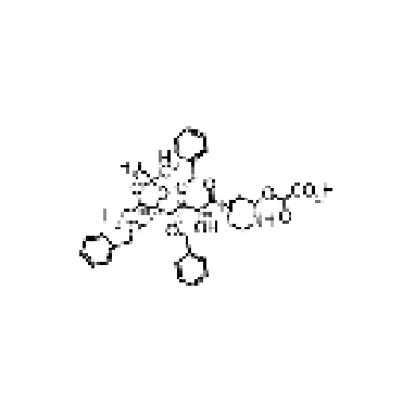 C[C@H]1OC(C)(C)O[C@@]1(COCc1ccccc1)[C@@H](OCc1ccccc1)[C@H](OCc1ccccc1)[C@@H](O)C(=O)N1CCNC(OC(=O)C(=O)O)C1